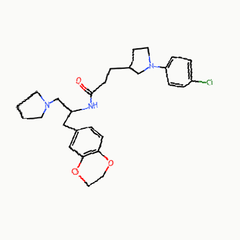 O=C(CCC1CCN(c2ccc(Cl)cc2)C1)NC(Cc1ccc2c(c1)OCCO2)CN1CCCC1